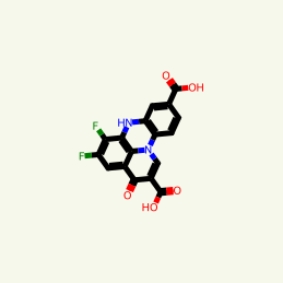 O=C(O)c1ccc2c(c1)Nc1c(F)c(F)cc3c(=O)c(C(=O)O)cn-2c13